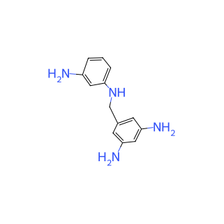 Nc1cc(N)cc(CNc2cccc(N)c2)c1